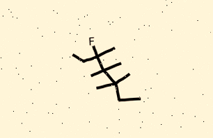 CCC(C)(C)C(C)(C)C(C)(F)CC